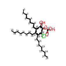 CCCCCCCCc1c(O)c(OC(=O)O)c(Cl)c(CCCCCCCC)c1CCCCCCCC